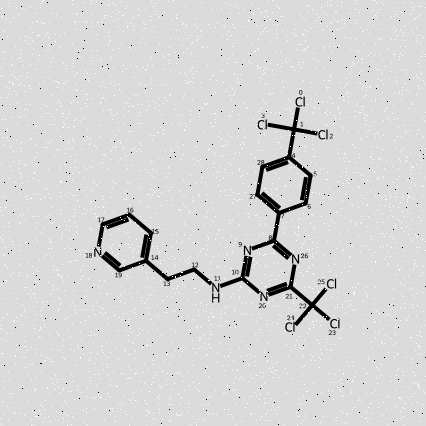 ClC(Cl)(Cl)c1ccc(-c2nc(NCCc3cccnc3)nc(C(Cl)(Cl)Cl)n2)cc1